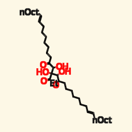 CCCCCCCCC=CCCCCCCCC(=O)C(O)C(O)(C(=O)CC)C(O)C(=O)CCCCCCCC=CCCCCCCCC